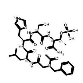 CC(=O)N(CC(=O)N[C@@H](CC(C)C)C(=O)N[C@@H](Cc1c[nH]cn1)C(=O)N[C@@H](CO)C(=O)N[C@H](C(N)=O)[C@@H](C)OP(=O)(O)O)Cc1ccccc1